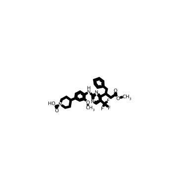 COC(=O)CC(Cc1ccccc1)c1nc(Nc2ccc(C3CCN(C(=O)O)CC3)cc2OC)ncc1C(F)(F)F